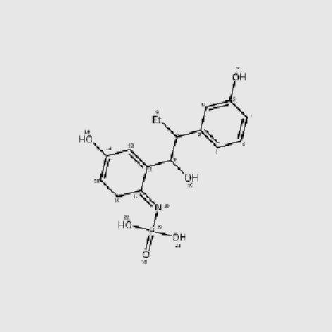 CCC(c1cccc(O)c1)C(O)C1=CC(O)=CCC1=NP(=O)(O)O